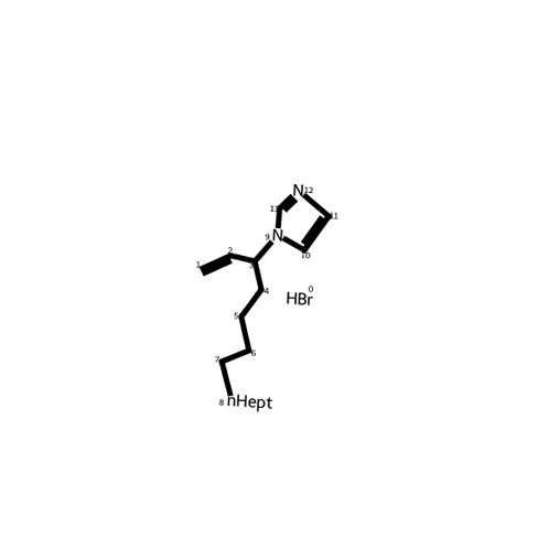 Br.C=CC(CCCCCCCCCCC)n1ccnc1